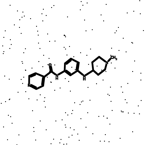 CN1CCC(Nc2cccc(NC(=O)c3ccncc3)c2)CC1